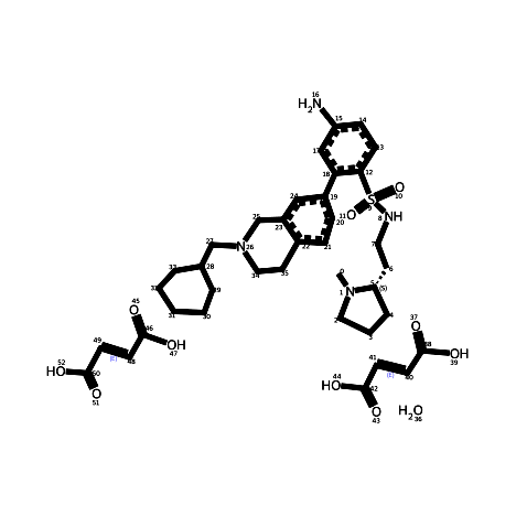 CN1CCC[C@H]1CCNS(=O)(=O)c1ccc(N)cc1-c1ccc2c(c1)CN(CC1CCCCC1)CC2.O.O=C(O)/C=C/C(=O)O.O=C(O)/C=C/C(=O)O